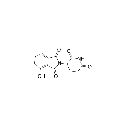 O=C1CCC(N2C(=O)C3=CCCC(O)=C3C2=O)C(=O)N1